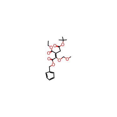 CCOC(=O)C(CC(=O)OC(C)(C)C)=C(OCOC)C(=O)OCc1ccccc1